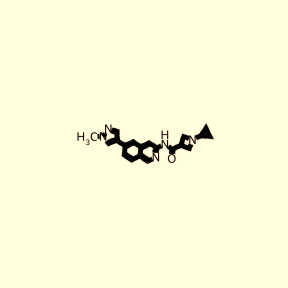 Cn1cc(-c2ccc3cnc(NC(=O)C4CN(C5CC5)C4)cc3c2)cn1